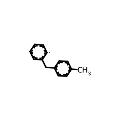 Cc1ccc(Cc2[c]cccc2)cc1